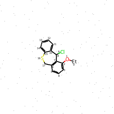 CCOc1cccc2c1C(Cl)c1ccccc1SC2